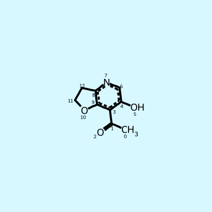 CC(=O)c1c(O)cnc2c1OCC2